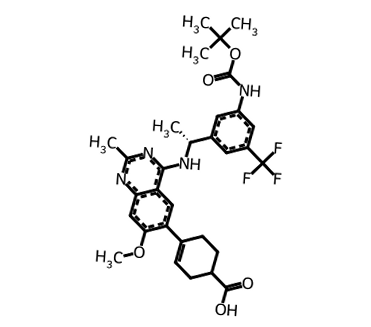 COc1cc2nc(C)nc(N[C@H](C)c3cc(NC(=O)OC(C)(C)C)cc(C(F)(F)F)c3)c2cc1C1=CCC(C(=O)O)CC1